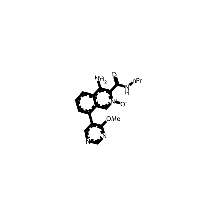 CCCNC(=O)c1c(N)c2cccc(-c3cncnc3OC)c2c[n+]1[O-]